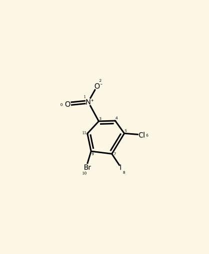 O=[N+]([O-])c1cc(Cl)c(I)c(Br)c1